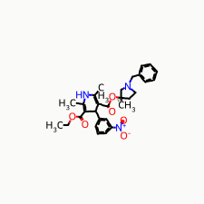 CCOC(=O)C1=C(C)NC(C)=C(C(=O)O[C@@]2(C)CCN(Cc3ccccc3)C2)C1c1cccc([N+](=O)[O-])c1